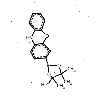 CC1(C)OB(c2ccc3c(c2)Oc2ccccc2N3)OC1(C)C